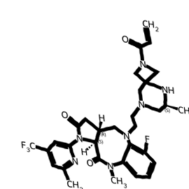 C=CC(=O)N1CC2(CN(CCN3C[C@H]4CC(=O)N(c5cc(C(F)(F)F)cc(C)n5)[C@@H]4C(=O)N(C)c4cccc(F)c43)C[C@H](C)N2)C1